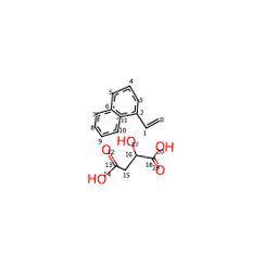 C=Cc1cccc2ccccc12.O=C(O)CC(O)C(=O)O